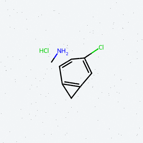 CN.Cl.Clc1ccc2c(c1)C2